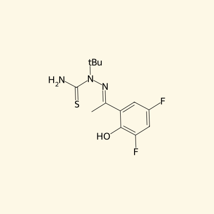 C/C(=N\N(C(N)=S)C(C)(C)C)c1cc(F)cc(F)c1O